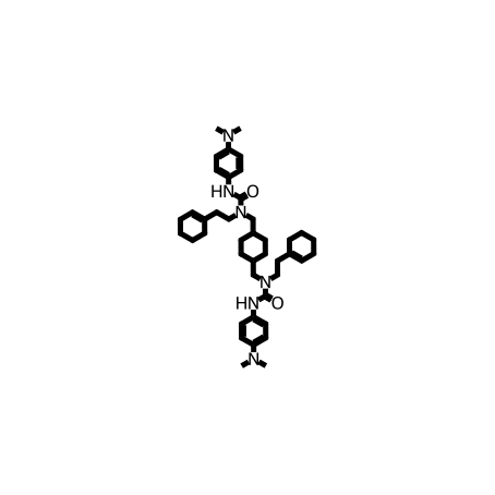 CN(C)c1ccc(NC(=O)N(CCC2=CCCCC2)CC2CCC(CN(CCC3=CCCCC3)C(=O)Nc3ccc(N(C)C)cc3)CC2)cc1